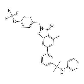 Cc1cc(-c2cccc(C(C)(C)Nc3ccccc3)c2)cc2c1C(=O)N(Cc1ccc(OC(F)(F)F)cc1)C2